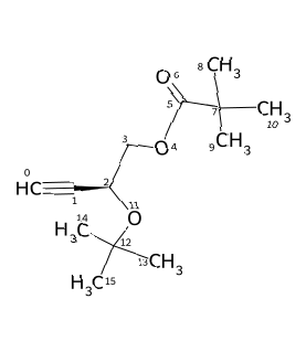 C#C[C@@H](COC(=O)C(C)(C)C)OC(C)(C)C